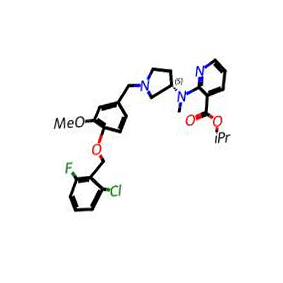 COc1cc(CN2CC[C@H](N(C)c3ncccc3C(=O)OC(C)C)C2)ccc1OCc1c(F)cccc1Cl